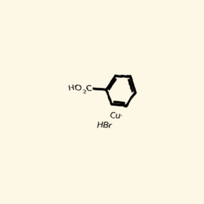 Br.O=C(O)c1ccccc1.[Cu]